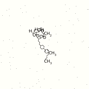 C=C(CO)C(=O)OCC(CCCC1CCC(C2=CCC(C)(CCCCC)C=C2)CC1)COC(=O)C(=C)COC